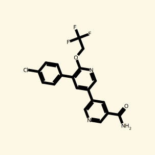 NC(=O)c1cncc(-c2cnc(OCC(F)(F)F)c(-c3ccc(Cl)cc3)c2)c1